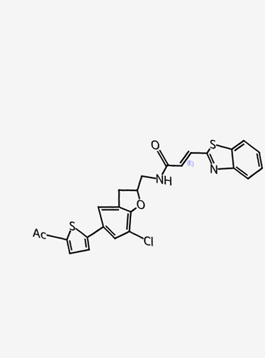 CC(=O)c1ccc(-c2cc(Cl)c3c(c2)CC(CNC(=O)/C=C/c2nc4ccccc4s2)O3)s1